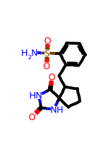 NS(=O)(=O)c1ccccc1CC1CCCC12NC(=O)NC2=O